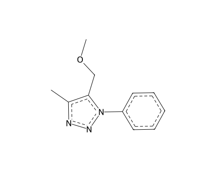 COCc1c(C)nnn1-c1ccccc1